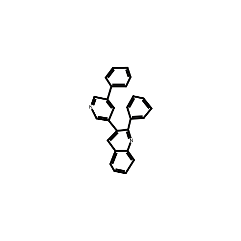 c1ccc(-c2cncc(-c3cc4ccccc4nc3-c3ccccc3)c2)cc1